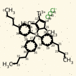 CCCCc1ccc([Si](C2=C(C)[C]([Ti+3])=CC2C)(c2ccc(CCCC)cc2)c2ccc(CCCC)cc2)cc1.[Cl-].[Cl-].[Cl-]